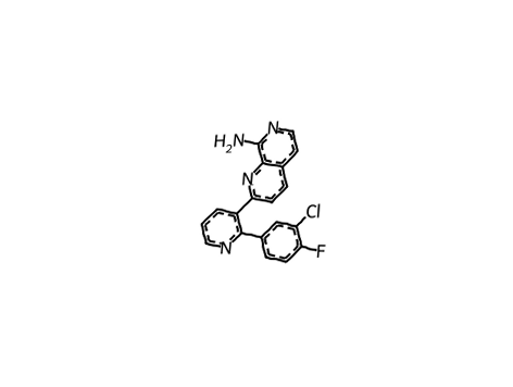 Nc1nccc2ccc(-c3cccnc3-c3ccc(F)c(Cl)c3)nc12